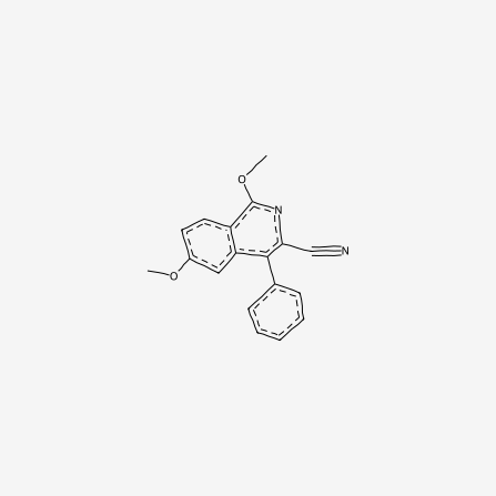 COc1ccc2c(OC)nc(C#N)c(-c3ccccc3)c2c1